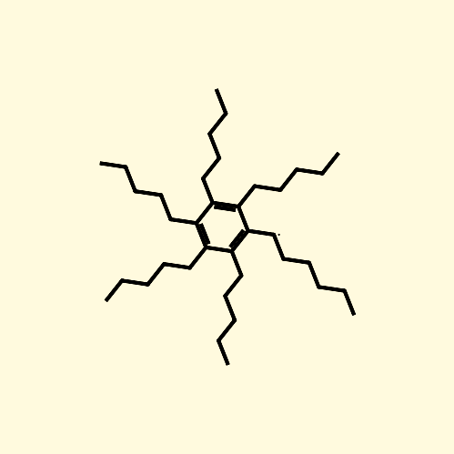 CCCCC[CH]c1c(CCCCC)c(CCCCC)c(CCCCC)c(CCCCC)c1CCCCC